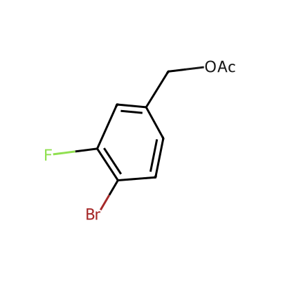 CC(=O)OCc1ccc(Br)c(F)c1